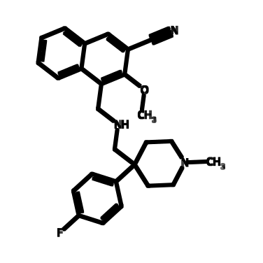 COc1c(C#N)cc2ccccc2c1CNCC1(c2ccc(F)cc2)CCN(C)CC1